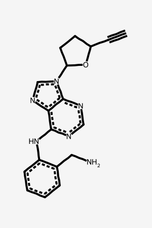 C#CC1CCC(n2cnc3c(Nc4ccccc4CN)ncnc32)O1